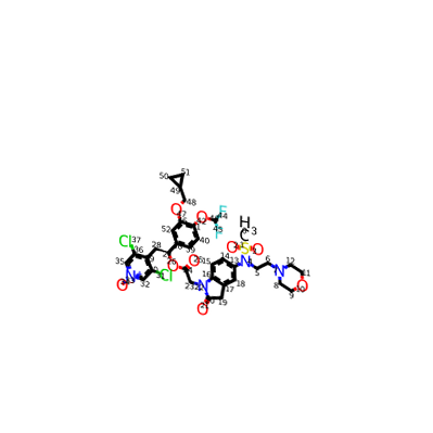 CS(=O)(=O)N(CCN1CCOCC1)c1ccc2c(c1)CC(=O)N2CC(=O)O[C@@H](Cc1c(Cl)c[n+]([O-])cc1Cl)c1ccc(OC(F)F)c(OCC2CC2)c1